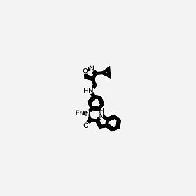 CCN(C(=O)c1cc2ccccc2[nH]1)c1cccc(NCc2conc2C2CC2)c1